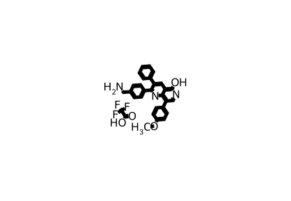 COc1ccc(-c2cnc(O)c3cc(-c4ccccc4)c(-c4ccc(CN)cc4)nc23)cc1.O=C(O)C(F)(F)F